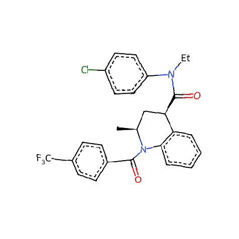 CCN(C(=O)[C@@H]1C[C@H](C)N(C(=O)c2ccc(C(F)(F)F)cc2)c2ccccc21)c1ccc(Cl)cc1